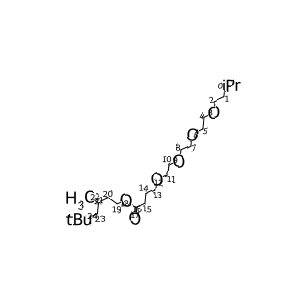 CC(C)CCOCCOCCOCCOCCCC(=O)OCCC(C)CC(C)(C)C